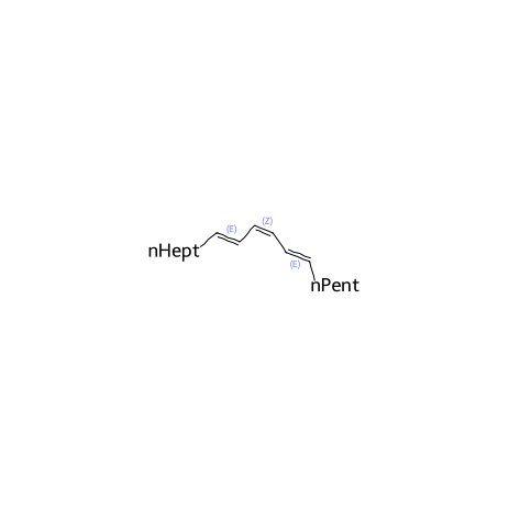 [CH2]CCCCCC/C=C/C=C\C=C\CCCCC